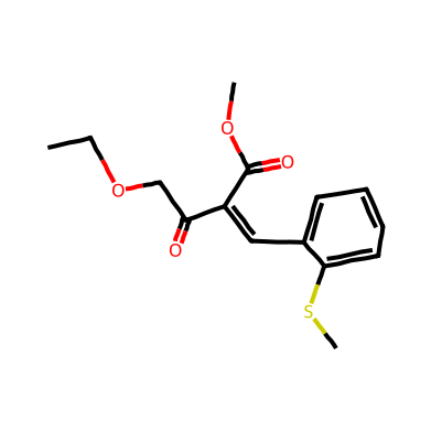 CCOCC(=O)C(=Cc1ccccc1SC)C(=O)OC